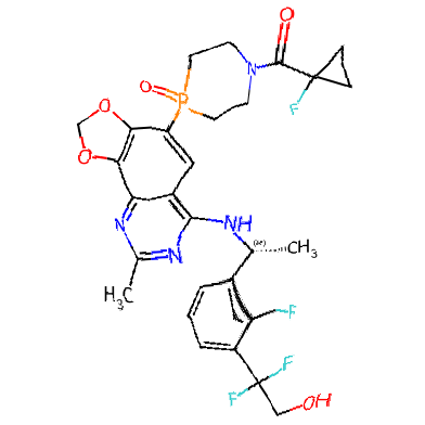 Cc1nc(N[C@H](C)c2cccc(C(F)(F)CO)c2F)c2cc(P3(=O)CCN(C(=O)C4(F)CC4)CC3)c3c(c2n1)OCO3